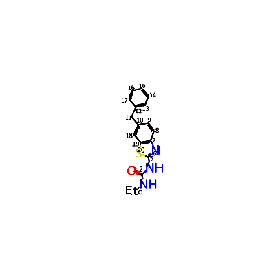 CCNC(=O)Nc1nc2ccc(Cc3ccccc3)cc2s1